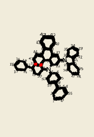 c1ccc(-c2ccc(N(c3ccc(-c4ccccc4)cc3)c3cc(-n4c5ccccc5c5ccccc54)cc4c5ccccc5c5ccccc5c34)cc2)cc1